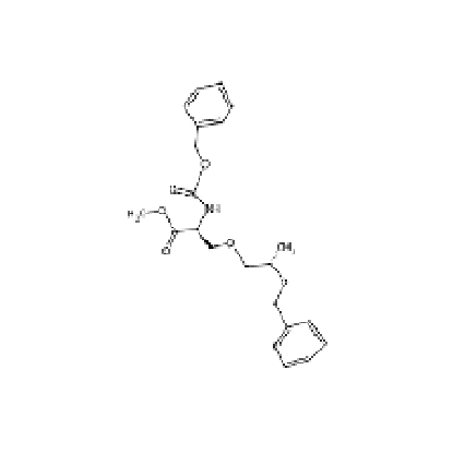 COC(=O)[C@H](COC[C@H](C)OCc1ccccc1)NC(=O)OCc1ccccc1